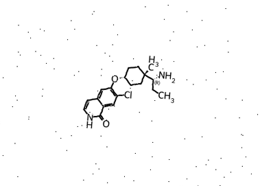 CC[C@@H](N)[C@]1(C)CC[C@H](Oc2cc3cc[nH]c(=O)c3cc2Cl)CC1